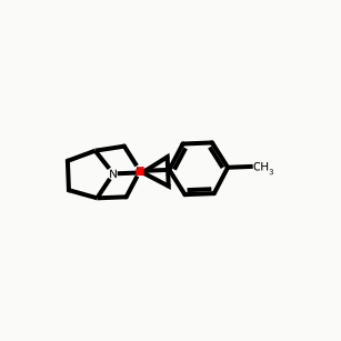 Cc1ccc(N2CC3CCC(C2)N3C2CC2)cc1